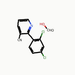 N#Cc1cccnc1-c1ccc(Cl)cc1Cl.O=CO